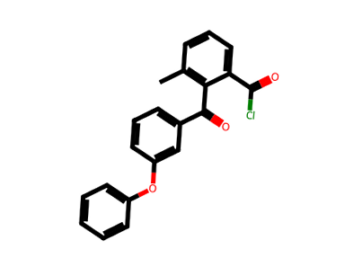 Cc1cccc(C(=O)Cl)c1C(=O)c1cccc(Oc2ccccc2)c1